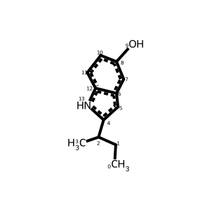 CCC(C)c1cc2cc(O)ccc2[nH]1